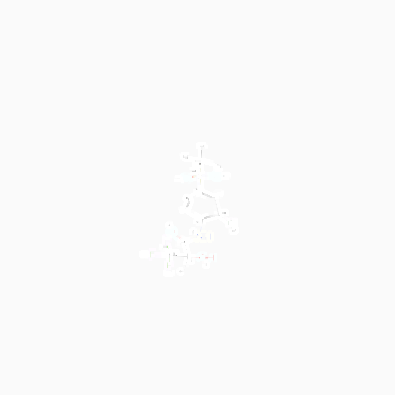 CC(O)(C(=O)Nc1ccc(S(=O)(=O)C(C)(C)C)cc1Cl)C(F)(F)F